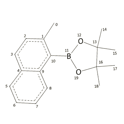 Cc1ccc2ccccc2c1B1OC(C)(C)C(C)(C)O1